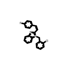 Fc1ccc(/C=C\c2nc3ccccc3n2Cc2ccccc2Cl)cc1